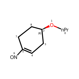 CCCO[C@H]1CC=C(N=O)CC1